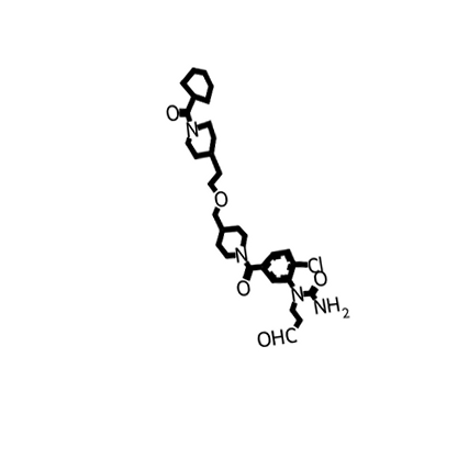 NC(=O)N(CCC=O)c1cc(C(=O)N2CCC(COCCC3CCN(C(=O)C4CCCCC4)CC3)CC2)ccc1Cl